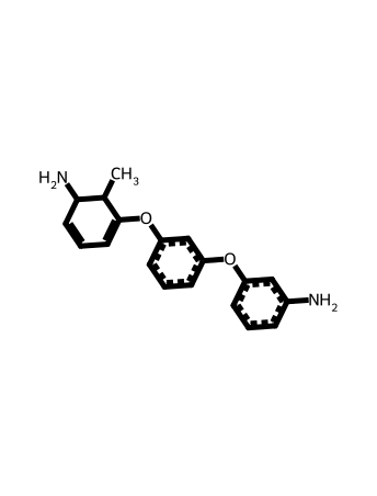 CC1C(Oc2cccc(Oc3cccc(N)c3)c2)=CC=CC1N